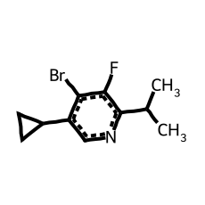 CC(C)c1ncc(C2CC2)c(Br)c1F